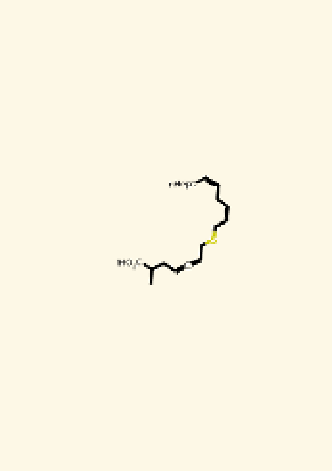 CCCCCCC/C=C\C/C=C\CSCC=C=CCC(C)C(=O)O